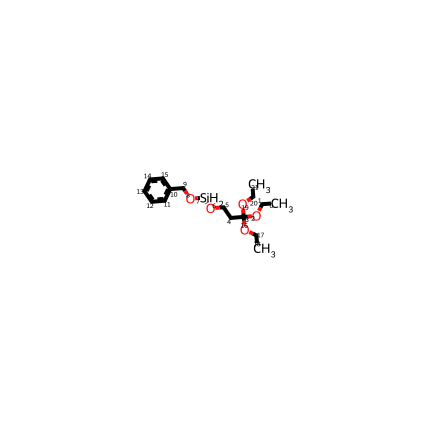 CCOC(CCO[SiH2]OCc1ccccc1)(OCC)OCC